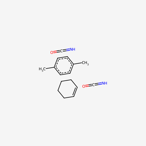 C1=CCCCC1.Cc1ccc(C)cc1.N=C=O.N=C=O